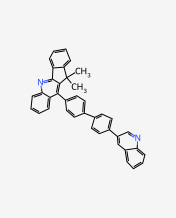 CC1(C)c2ccccc2-c2nc3ccccc3c(-c3ccc(-c4ccc(-c5cnc6ccccc6c5)cc4)cc3)c21